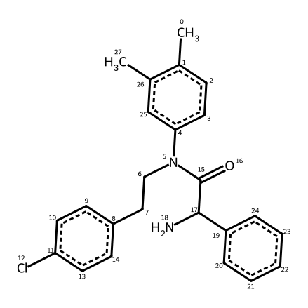 Cc1ccc(N(CCc2ccc(Cl)cc2)C(=O)C(N)c2ccccc2)cc1C